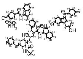 CC(C)(C)NC(=O)[C@@H]1CN(Cc2cccnc2)CCN1C[C@@H](O)C[C@@H](Cc1ccccc1)C(=O)N[C@H]1c2ccccc2C[C@H]1O.CC1Cc2ccccc2N1NC(=O)c1ccc(Cl)c(S(N)(=O)=O)c1.COc1ccc2c(c1)c(CC(=O)O)c(C)n2C(=O)c1ccc(Cl)cc1